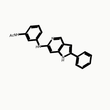 CC(=O)Nc1cccc(Nc2cc3[nH]c(-c4ccccc4)cc3cn2)c1